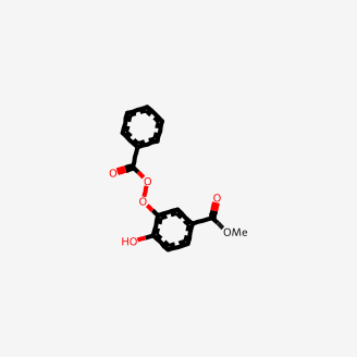 COC(=O)c1ccc(O)c(OOC(=O)c2ccccc2)c1